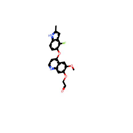 COc1cc2c(Oc3ccc4[nH]c(C)cc4c3F)ccnc2cc1OCC=O